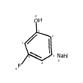 Oc1cccc(F)c1.[NaH]